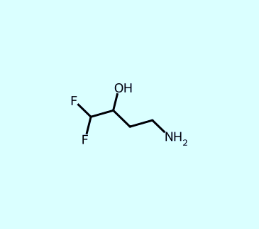 NCCC(O)C(F)F